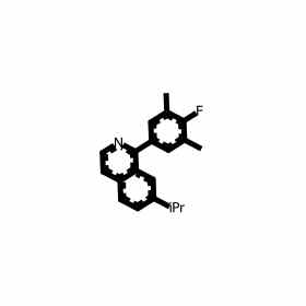 Cc1cc(-c2nccc3ccc(C(C)C)cc23)cc(C)c1F